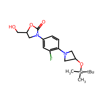 CC(C)(C)[Si](C)(C)OC1CN(c2ccc(N3CC(CO)OC3=O)cc2F)C1